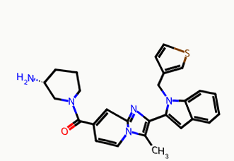 Cc1c(-c2cc3ccccc3n2Cc2ccsc2)nc2cc(C(=O)N3CCC[C@@H](N)C3)ccn12